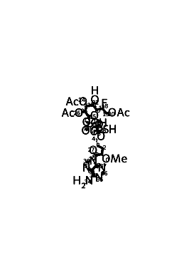 CO[C@@H]1C[C@@H](COP(=O)(S)OP(=O)(O)OC2OC([C@@H](F)COC(C)=O)C(O)C(OC(C)=O)C2OC(C)=O)O[C@H]1n1cnc2c(N)ncnc21